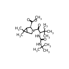 COC(=O)[C@@H]1C2C(CN1C(=O)[C@@H](NC(=O)NC(C)(C)C)C(C)(C)C)C2(C)C